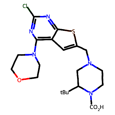 CC(C)(C)C1CN(Cc2cc3c(N4CCOCC4)nc(Cl)nc3s2)CCN1C(=O)O